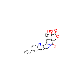 CCCCc1ccc2nc3c(cc2c1)Cn1c-3cc2c(c1=O)COC(=O)[C@]2(O)CC